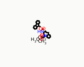 CC(C)(C)OC(=O)CN1C(=O)[C@@H](NC(=O)OCC2c3ccccc3-c3ccccc32)/C=C/Cc2ccccc21